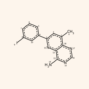 Cc1cc(-c2cccc(I)c2)nc2c(N)ncnc12